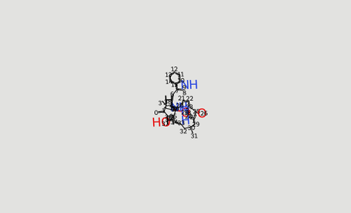 C=C1[C@@H](C)[C@H]2[C@H](Cc3c[nH]c4ccccc34)NC(=O)[C@]23c2ccc([nH]2)C(=O)/C(C)=C/[C@@H](C)C/C=C/[C@H]3[C@@H]1O